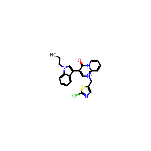 N#CCCn1cc(-c2c[n+](Cc3cnc(Cl)s3)c3ccccn3c2=O)c2ccccc21